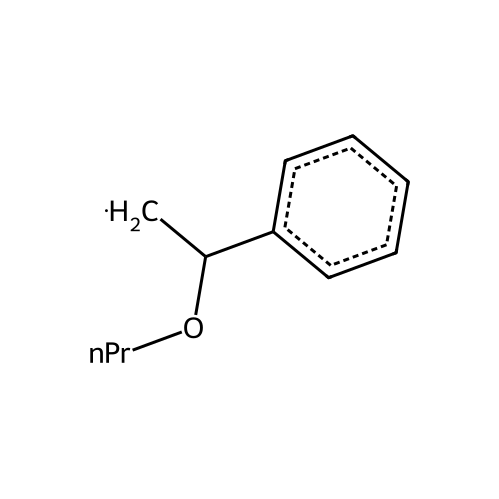 [CH2]C(OCCC)c1ccccc1